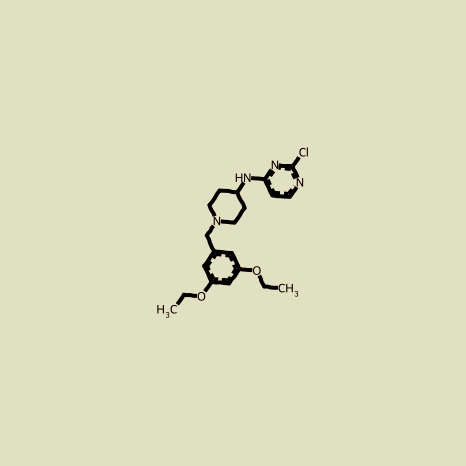 CCOc1cc(CN2CCC(Nc3ccnc(Cl)n3)CC2)cc(OCC)c1